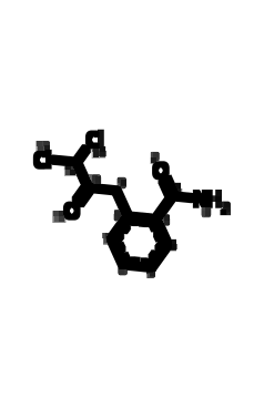 NC(=O)c1ccccc1CC(=O)C(Cl)Cl